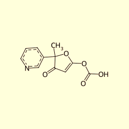 CC1(c2cccnc2)OC(OC(=O)O)=CC1=O